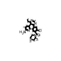 CCc1ncnc(-c2ccc(C(=O)N3CCN(C)C[C@@H]3C)c(Cl)c2)c1-c1ccc(N)nc1